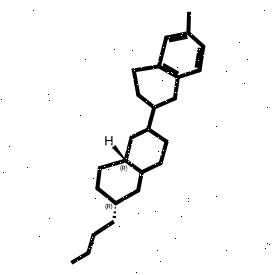 CCCC[C@@H]1CC[C@@H]2CC(C3CCc4cc(C)ccc4C3)CCC2C1